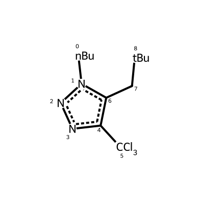 CCCCn1nnc(C(Cl)(Cl)Cl)c1CC(C)(C)C